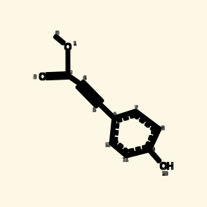 COC(=O)C#Cc1ccc(O)cc1